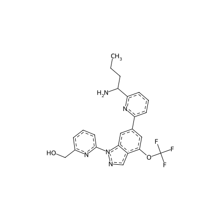 CCCC(N)c1cccc(-c2cc(OC(F)(F)F)c3cnn(-c4cccc(CO)n4)c3c2)n1